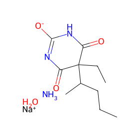 CCCC(C)C1(CC)C(=O)N=C([O-])NC1=O.N.O.[Na+]